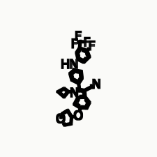 N#Cc1c(-c2ccc(Nc3ccc(F)c(C(F)(F)F)c3)cc2)n(C2CCC2)c2cc(OC3CCOCC3)ccc12